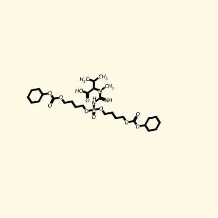 CC(C)C(C(=O)O)N(C)C(=N)NP(=O)(OCCCCOC(=O)OC1CCCCC1)OCCCCOC(=O)OC1CCCCC1